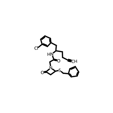 C#CCCC(Cc1cccc(Cl)c1)NC(=O)CN1C(=O)CC1SCc1ccccc1